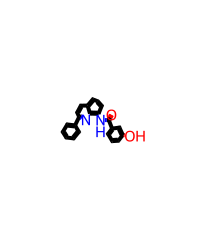 O=C(Nc1cccc2ccc(-c3ccccc3)nc12)c1cccc(O)c1